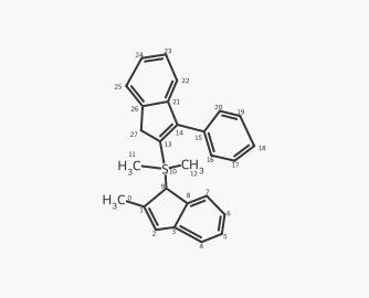 CC1=Cc2ccccc2C1S(C)(C)C1=C(c2ccccc2)c2ccccc2C1